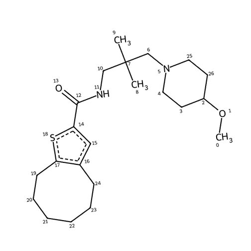 COC1CCN(CC(C)(C)CNC(=O)c2cc3c(s2)CCCCCC3)CC1